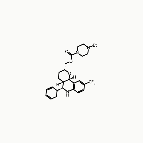 CCN1CCN(C(=O)OC[C@H]2CC[C@@H]3[C@H](O2)c2cc(C(F)(F)F)ccc2N[C@H]3C2C=CC=CC2)CC1